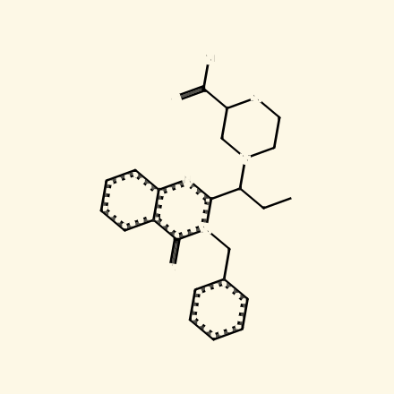 CCC(c1nc2ccccc2c(=O)n1Cc1ccccc1)N1CCNC(C(N)=O)C1